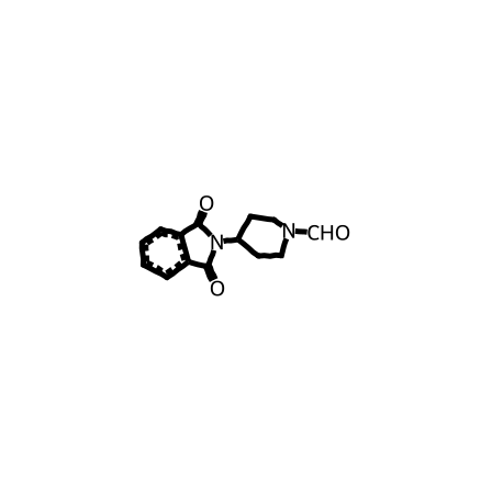 O=CN1CCC(N2C(=O)c3ccccc3C2=O)CC1